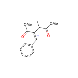 COC(=O)/C(=C\c1ccccc1)C(C)C(=O)OC